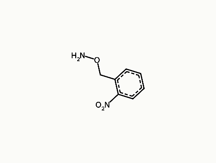 NOCc1ccccc1[N+](=O)[O-]